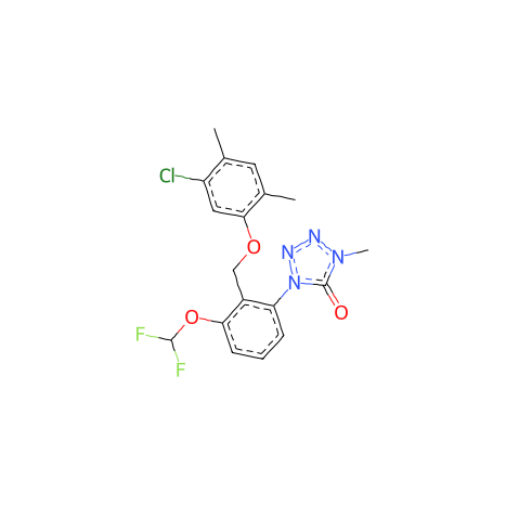 Cc1cc(C)c(OCc2c(OC(F)F)cccc2-n2nnn(C)c2=O)cc1Cl